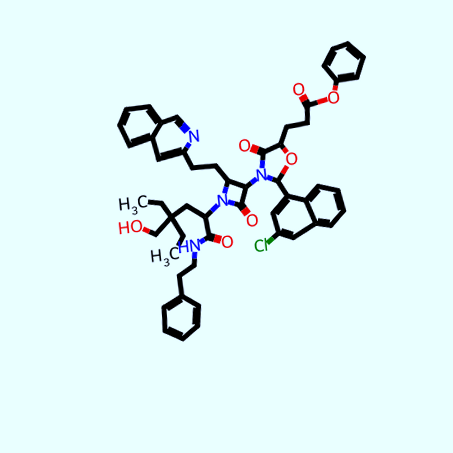 CCC(CC)(CO)CC(C(=O)NCCc1ccccc1)N1C(=O)C(N2C(=O)C(CCC(=O)Oc3ccccc3)OC2c2cc(Cl)cc3ccccc23)C1CCc1cc2ccccc2cn1